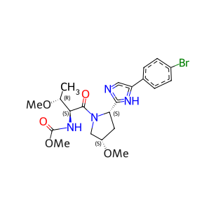 COC(=O)N[C@H](C(=O)N1C[C@@H](OC)C[C@H]1c1ncc(-c2ccc(Br)cc2)[nH]1)[C@@H](C)OC